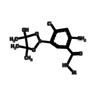 CCNC(=O)c1cc(B2OC(C)(C)C(C)(O)O2)c(Cl)cc1N